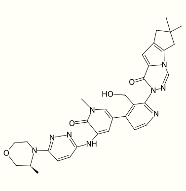 C[C@H]1COCCN1c1ccc(Nc2cc(-c3ccnc(-n4ncn5c6c(cc5c4=O)CC(C)(C)C6)c3CO)cn(C)c2=O)nn1